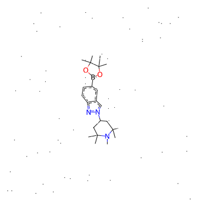 CN1C(C)(C)CC(n2cc3cc(B4OC(C)(C)C(C)(C)O4)ccc3n2)CC1(C)C